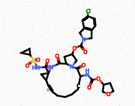 O=C(NC1CCCCC/C=C\C2CC2(C(=O)NS(=O)(=O)C2CC2)NC(=O)C2CC(OC(=O)N3Cc4ccc(Cl)cc4C3)CN2C1=O)OC1CCOC1